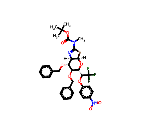 CN(C(=O)OC(C)(C)C)C1=N[C@@H]2[C@@H](OCc3ccccc3)[C@H](OCc3ccccc3)[C@@H](C(Oc3ccc([N+](=O)[O-])cc3)C(F)(F)F)O[C@@H]2S1